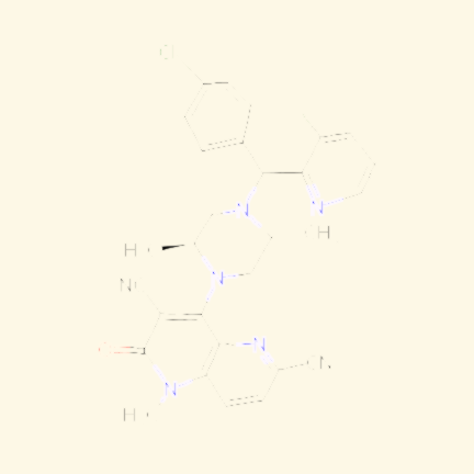 C[C@@H]1CN(c2c(C#N)c(=O)n(C)c3ccc(C#N)nc23)[C@@H](C)CN1C(c1ccc(Cl)cc1)c1ncccc1F